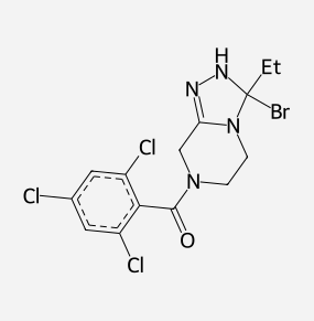 CCC1(Br)NN=C2CN(C(=O)c3c(Cl)cc(Cl)cc3Cl)CCN21